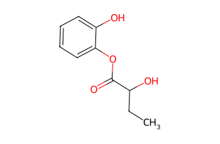 CCC(O)C(=O)Oc1ccccc1O